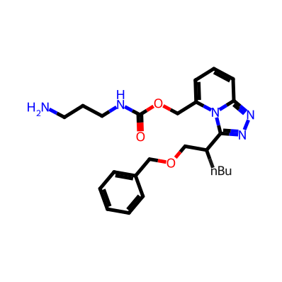 CCCCC(COCc1ccccc1)c1nnc2cccc(COC(=O)NCCCN)n12